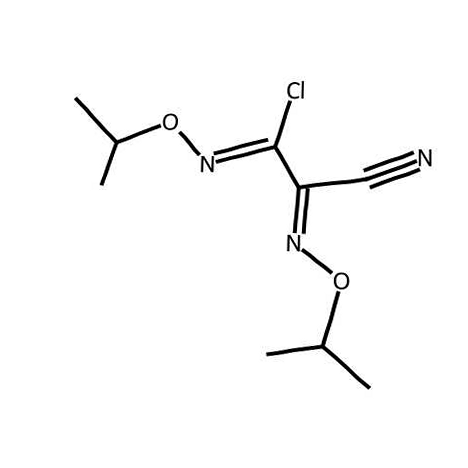 CC(C)ON=C(Cl)C(C#N)=NOC(C)C